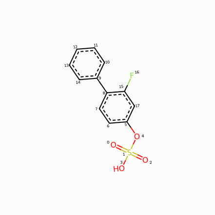 O=S(=O)(O)Oc1ccc(-c2ccccc2)c(F)c1